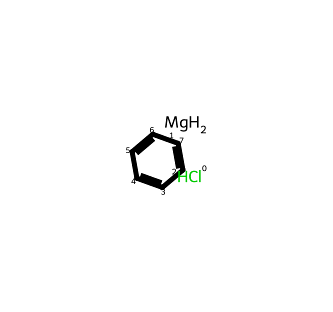 Cl.[MgH2].c1ccccc1